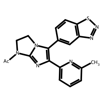 CC(=O)N1CCn2c1nc(-c1cccc(C)n1)c2-c1ccc2snnc2c1